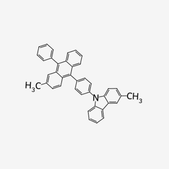 Cc1ccc2c(-c3ccc(-n4c5ccccc5c5cc(C)ccc54)cc3)c3ccccc3c(-c3ccccc3)c2c1